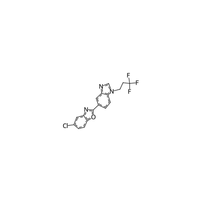 FC(F)(F)CCn1cnc2cc(-c3nc4cc(Cl)ccc4o3)ccc21